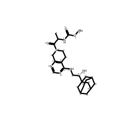 CC(NC(=O)OC(C)(C)C)C(=O)N1CCc2c(ncnc2NC[C@H](O)C23CC4CC(CC(C4)C2)C3)C1